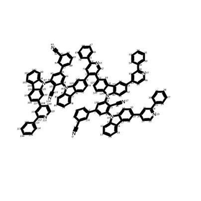 N#Cc1cccc(-c2cc(-n3c4ccccc4c4cc(-c5ccnc(-c6ccccc6)c5)ccc43)c(C#N)c(-n3c4ccc(-c5ccnc(-c6ccccc6)c5)cc4c4cc(-c5cnc(-c6ccccc6)cc5-c5ccc6c7ccccc7n(-c7cc(-c8cccc(C#N)c8)cc(-n8c9ccccc9c9ccc(-c%10ccnc(-c%11ccccc%11)c%10)cc98)c7C#N)c6c5)ccc43)c2)c1